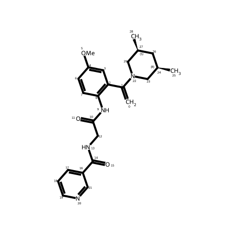 C=C(c1cc(OC)ccc1NC(=O)CNC(=O)c1cccnc1)N1C[C@H](C)C[C@H](C)C1